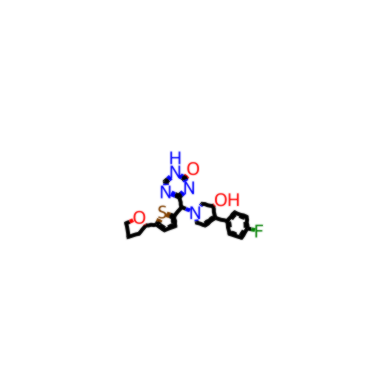 O=c1nc(C(c2ccc(C3CCCO3)s2)N2CC=C(c3ccc(F)cc3)C(O)C2)nc[nH]1